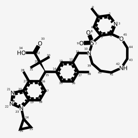 Cc1cnc2c(c1)S(=O)(=O)N(Cc1cc([C@@H](c3ccc4c(nnn4C4CC4)c3C)C(C)(C)C(=O)O)ccc1C)CCCNCCO2